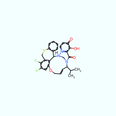 CC(C)C1/C=C/COc2cc(F)c(F)c3c2[C@@H](c2ccccc2SC3)N2CN1C(=O)c1c(O)c(=O)ccn12